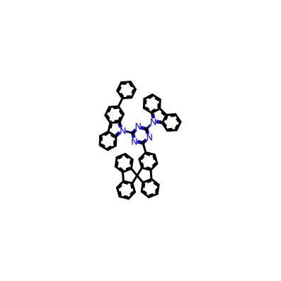 c1ccc(-c2ccc3c4ccccc4n(-c4nc(-c5ccc6c(c5)C5(c7ccccc7-c7ccccc75)c5ccccc5-6)nc(-n5c6ccccc6c6ccccc65)n4)c3c2)cc1